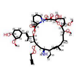 C#CCOO[C@H]1CC(=N)[C@H](CC)/C=C(\C)C[C@H](C)C[C@H](OC)[C@H]2O[C@@](O)(C(=O)C(=O)N3CCCC[C@H]3C(=O)O[C@H](/C(C)=C/[C@@H]3CC[C@@H](O)[C@H](OC)C3)[C@@H]1C)[C@H](C)C[C@@H]2OC